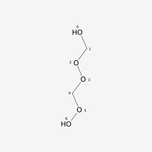 OCOOCOO